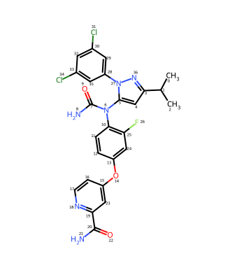 CC(C)c1cc(N(C(N)=O)c2ccc(Oc3ccnc(C(N)=O)c3)cc2F)n(-c2cc(Cl)cc(Cl)c2)n1